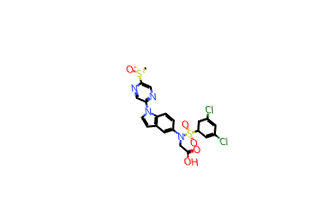 C[S+]([O-])c1cnc(-n2ccc3cc(N(CC(=O)O)S(=O)(=O)C4C=C(Cl)C=C(Cl)C4)ccc32)cn1